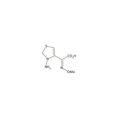 CO/N=C(\C(=O)O)C1=CSCN1N